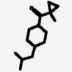 CC(C)CN1CCN(C(=O)C2(C)CC2)CC1